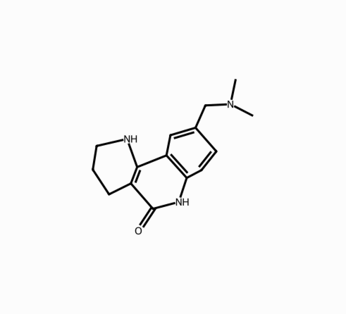 CN(C)Cc1ccc2[nH]c(=O)c3c(c2c1)NCCC3